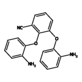 N#Cc1cccc(Oc2ccccc2N)c1Oc1ccccc1N